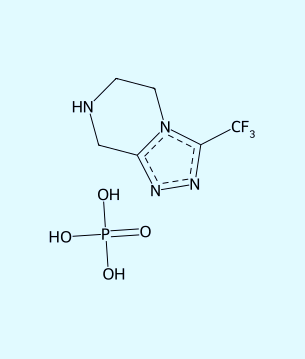 FC(F)(F)c1nnc2n1CCNC2.O=P(O)(O)O